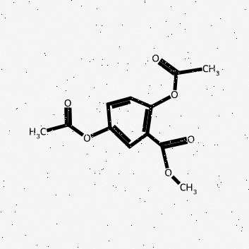 COC(=O)c1cc(OC(C)=O)ccc1OC(C)=O